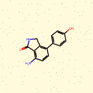 Nc1ccc(-c2ccc(O)cc2)c2c1C(=O)NC2